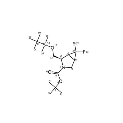 CC(C)(C)OC(=O)N1CC2C([C@@H]1CO[Si](C)(C)C(C)(C)C)C2(F)F